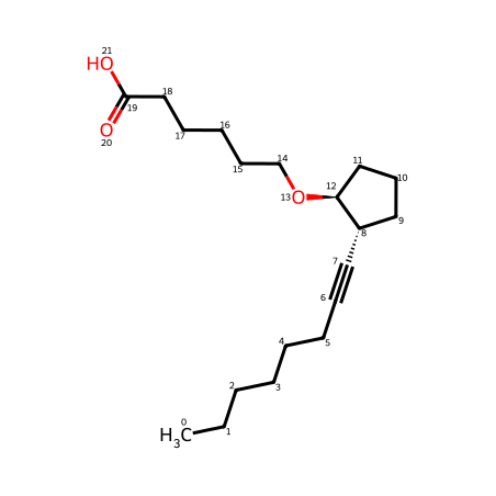 CCCCCCC#C[C@H]1CCC[C@@H]1OCCCCCC(=O)O